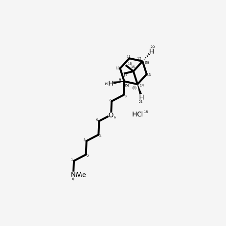 CNCCCCCOCC[C@@H]1CC[C@H]2C[C@H]1C2(C)C.Cl